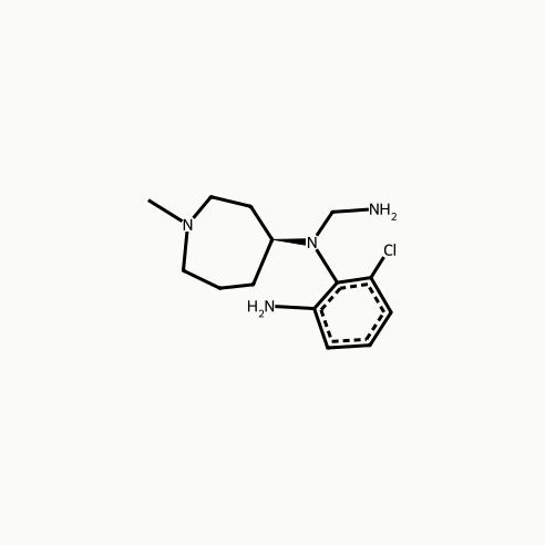 CN1CCC[C@H](N(CN)c2c(N)cccc2Cl)CC1